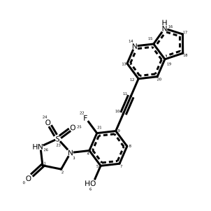 O=C1CN(c2c(O)ccc(C#Cc3cnc4[nH]ccc4c3)c2F)S(=O)(=O)N1